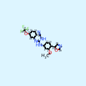 COc1cc(N/C(=N/c2cccc(OC(F)(F)F)c2)NC#N)ccc1-c1cnco1